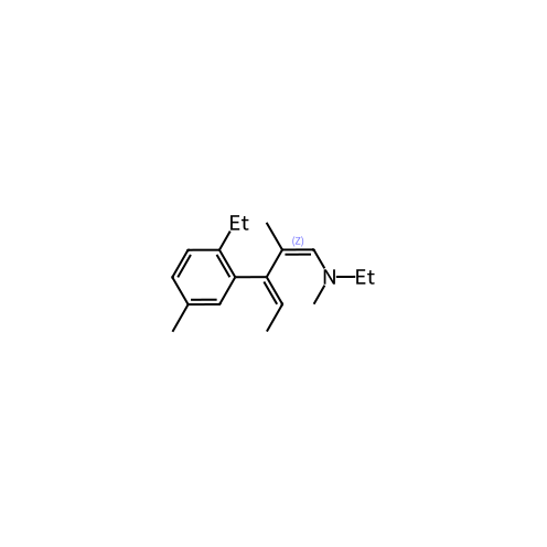 CC=C(/C(C)=C\N(C)CC)c1cc(C)ccc1CC